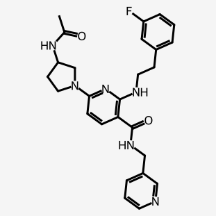 CC(=O)NC1CCN(c2ccc(C(=O)NCc3cccnc3)c(NCCc3cccc(F)c3)n2)C1